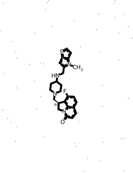 Cn1c(CNC2CCN(C[C@@H]3Cn4c(=O)ccc5ccc(F)c3c54)CC2)cc2sccc21